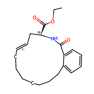 CCOC(=O)[C@@H]1C/C=C/CCCCCCCc2ccccc2C(=O)N1